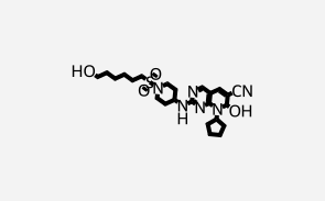 N#CC1=Cc2cnc(NC3CCN(S(=O)(=O)CCCCCCO)CC3)nc2N(C2CCCC2)C1O